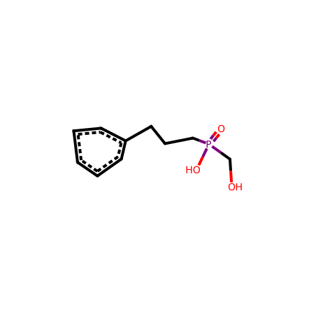 O=P(O)(CO)CCCc1ccccc1